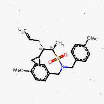 C=CC[C@@H](C1CC1)[C@@H](C)S(=O)(=O)N(Cc1ccc(OC)cc1)Cc1ccc(OC)cc1